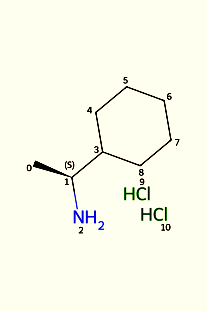 C[C@H](N)C1CCCCC1.Cl.Cl